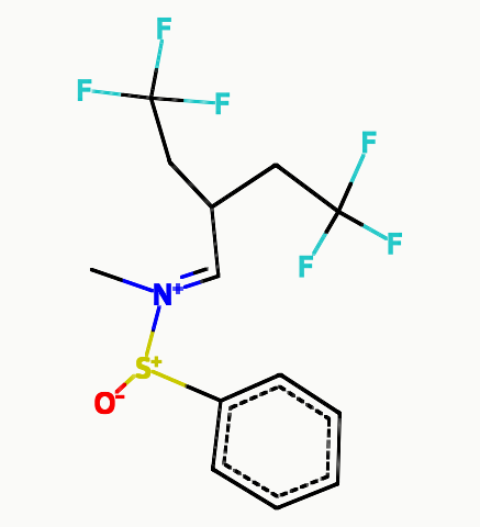 C[N+](=CC(CC(F)(F)F)CC(F)(F)F)[S+]([O-])c1ccccc1